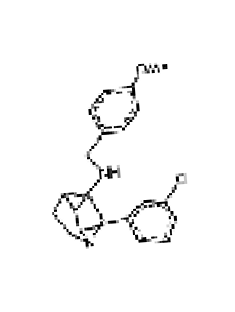 COc1ccc(CNC2C3CCN(CC3)C2c2cccc(Cl)c2)cc1